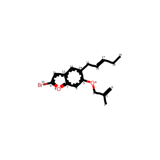 C=C(C)COc1cc2oc(Br)cc2cc1CC=CCC